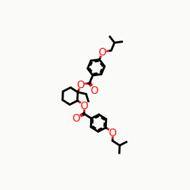 CCC1(OC(=O)c2ccc(OCC(C)C)cc2)CCCCC1OC(=O)c1ccc(OCC(C)C)cc1